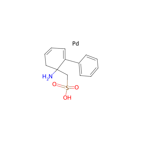 NC1(CS(=O)(=O)O)CC=CC=C1c1ccccc1.[Pd]